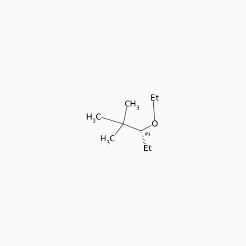 CCO[C@H](CC)C(C)(C)C